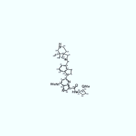 CNc1cc(N2CCc3c(CN4CC5(CCNCC5(F)F)C4)cccc32)nn2c(C(=O)N[C@@H]3CC[C@H]3OC)cnc12